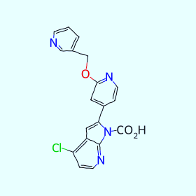 O=C(O)n1c(-c2ccnc(OCc3cccnc3)c2)cc2c(Cl)ccnc21